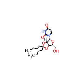 CCCCC1(CCCC)OC2[C@@H](CO)O[C@@H](n3ccc(=O)[nH]c3=O)[C@H]2O1